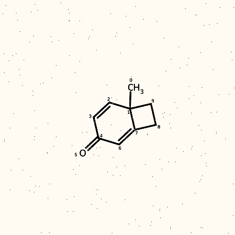 CC12C=CC(=O)C=C1CC2